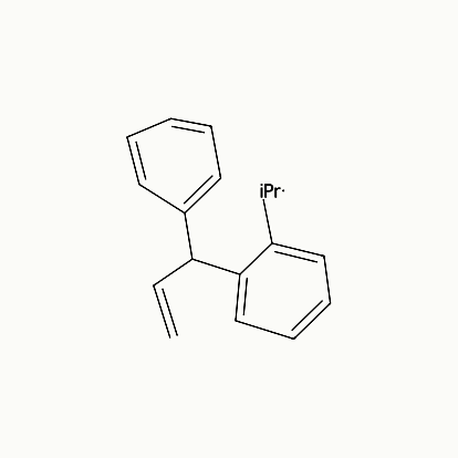 C=CC(c1ccccc1)c1ccccc1[C](C)C